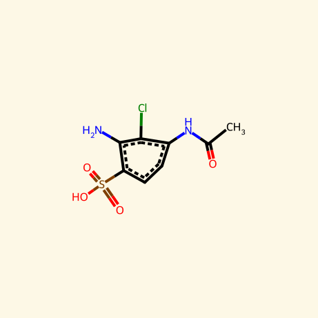 CC(=O)Nc1ccc(S(=O)(=O)O)c(N)c1Cl